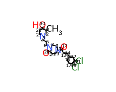 C[C@H]1CN(CCCN2CCN(C(=O)/C=C/c3ccc(Cl)c(Cl)c3)CCC2=O)CC[C@H]1O